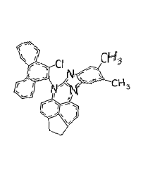 Cc1cc2nc3n(-c4c(Cl)c5ccccc5c5ccccc45)c4ccc5c6c(ccc(c64)n3c2cc1C)CC5